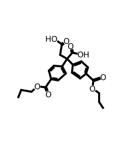 CCCOC(=O)c1ccc(C(CC(=O)O)(C(=O)O)c2ccc(C(=O)OCCC)cc2)cc1